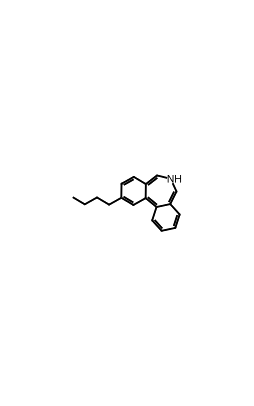 CCCCc1ccc2c(c1)=c1ccccc1=CNC=2